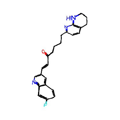 O=C(C=Cc1cnc2cc(F)ccc2c1)CCCCc1ccc2c(n1)NCCC2